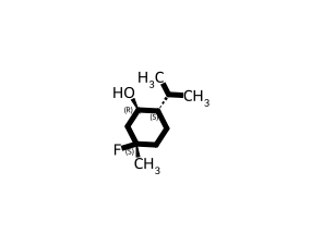 CC(C)[C@@H]1CC[C@](C)(F)C[C@H]1O